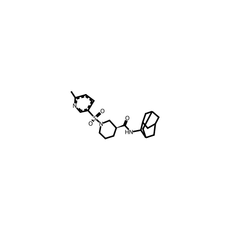 Cc1ccc(S(=O)(=O)N2CCC[C@H](C(=O)NC3C4CC5CC(C4)CC3C5)C2)cn1